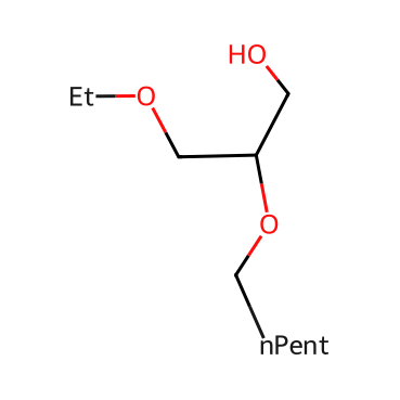 CCCCCCOC(CO)COCC